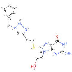 Nc1nc2c(nc(SCCc3cn(Cc4ccccc4)nn3)n2CCO)c(=O)[nH]1